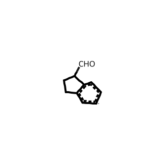 O=CC1CCc2c[c]ccc21